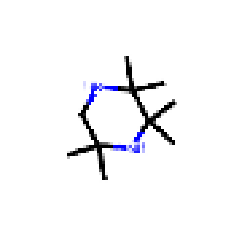 CC1(C)CNC(C)(C)C(C)(C)N1